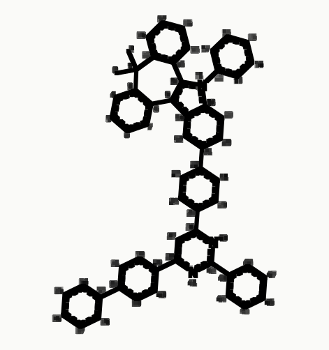 CC1(C)c2ccccc2-c2c(n(-c3ccccc3)c3ccc(-c4ccc(-c5cc(-c6ccc(-c7ccccc7)cc6)nc(-c6ccccc6)n5)cc4)cc23)-c2ccccc21